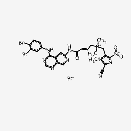 Cn1c(C#N)nc([N+](=O)[O-])c1C[N+](C)(C)C/C=C/C(=O)Nc1cc2c(Nc3ccc(Br)c(Br)c3)ncnc2cn1.[Br-]